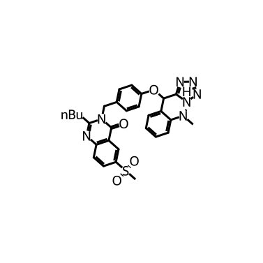 CCCCc1nc2ccc(S(C)(=O)=O)cc2c(=O)n1Cc1ccc(OC(c2nnn[nH]2)c2ccccc2N(C)C)cc1